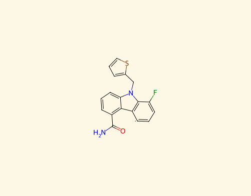 NC(=O)c1cccc2c1c1[c]ccc(F)c1n2Cc1cccs1